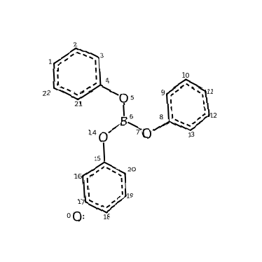 [O].c1ccc(OB(Oc2ccccc2)Oc2ccccc2)cc1